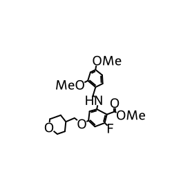 COC(=O)c1c(F)cc(OCC2CCOCC2)cc1NCc1ccc(OC)cc1OC